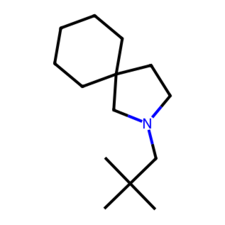 CC(C)(C)CN1CCC2(CCCCC2)C1